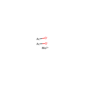 CC(=O)[O-].CC(=O)[O-].[Mo+2]